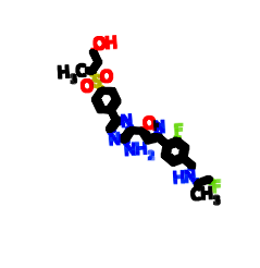 CC(CF)NCc1ccc(-c2cc(-c3nc(C4=CCC(S(=O)(=O)C(C)CCO)C=C4)cnc3N)on2)c(F)c1